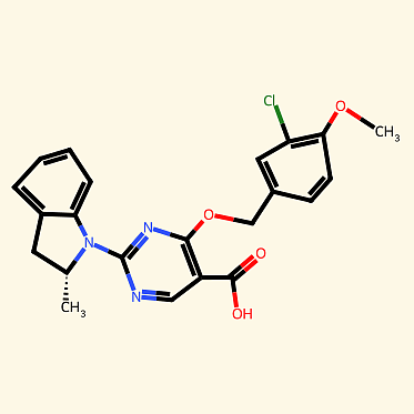 COc1ccc(COc2nc(N3c4ccccc4C[C@H]3C)ncc2C(=O)O)cc1Cl